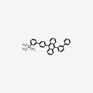 CS(C)(C)c1cccc(-c2ccc(-c3c4ccccc4c(-c4cccc(-c5ccccc5)c4)c4ccccc34)cc2)c1